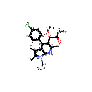 COC(=O)C(OC(C)(C)C)c1c(C)nc2c(c(C)c(C)n2CC#N)c1-c1ccc(Cl)cc1